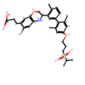 Cc1ccc(-c2c(C)cc(OCCCS(=O)(=O)C(C)C)cc2C)cc1C1COc2cc(CCC(=O)O)c(F)cc2N1